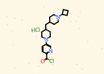 Cl.O=C(Cl)c1ccc(N2CCC(CC3CCN(C4CCC4)CC3)CC2)cn1